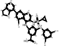 O=C(O)c1cc(Nc2c(NS(=O)(=O)C3CC3)cnc3cc(-c4cncc5c4OCC5)cc(F)c23)cc(Oc2cc(F)cc(F)c2)c1